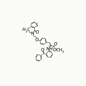 CCN(CCOc1ccc(C[C@H](Nc2ccccc2C(=O)c2ccccc2)C(=O)OC)cc1)C(=O)c1cccs1